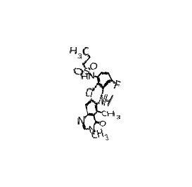 CCCS(=O)(=O)Nc1ccc(F)c(Nc2ccc3ncn(C)c(=O)c3c2C)c1Cl